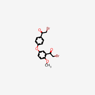 COc1ccc(Oc2ccc(C(=O)CBr)cc2)cc1C(=O)CBr